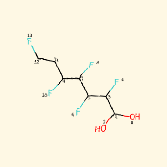 OC(O)C(F)C(F)C(F)C(F)CCF